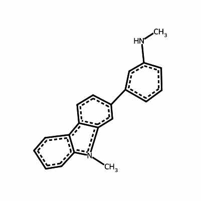 CNc1cccc(-c2ccc3c4ccccc4n(C)c3c2)c1